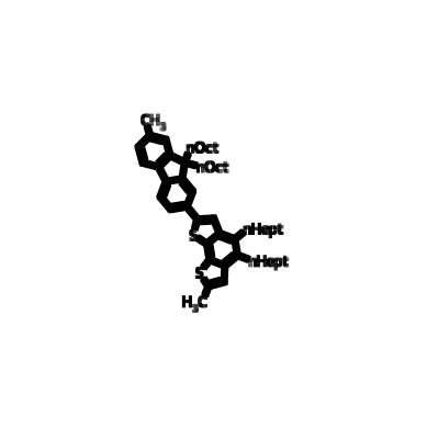 CCCCCCCCC1(CCCCCCCC)c2cc(C)ccc2-c2ccc(-c3cc4c(CCCCCCC)c(CCCCCCC)c5cc(C)sc5c4s3)cc21